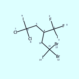 FC(F)(I)C(CC(Cl)(Cl)I)CC(Br)(Br)I